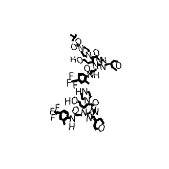 Cc1cc(C(F)(F)F)ccc1NC(=O)Cn1c(CCO)c(N2CCN(C(=O)OC(C)(C)C)CC2)c(=O)n2nc(C3=CCOCC3)nc12.Cc1cc(C(F)(F)F)ccc1NC(=O)Cn1c(CCO)c(N2CCNCC2)c(=O)n2nc(C3=CCOCC3)nc12